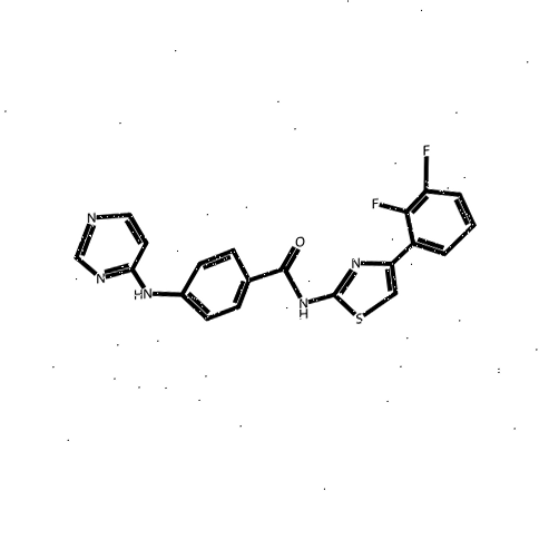 O=C(Nc1nc(-c2cccc(F)c2F)cs1)c1ccc(Nc2ccncn2)cc1